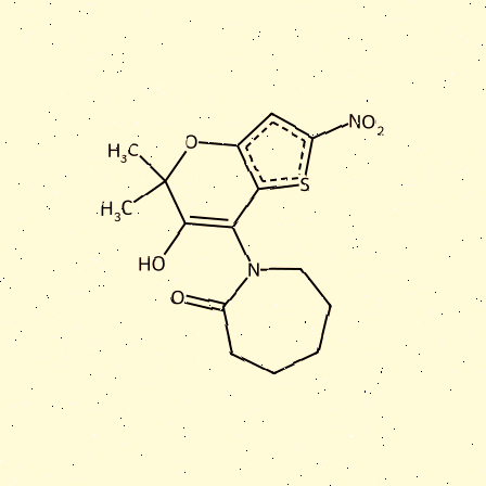 CC1(C)Oc2cc([N+](=O)[O-])sc2C(N2CCCCCC2=O)=C1O